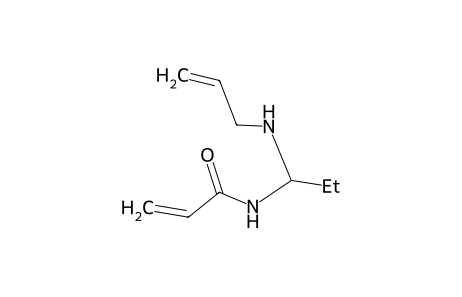 C=CCNC(CC)NC(=O)C=C